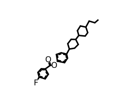 CCCC1CCC(C2CCC(c3ccc(OC(=O)c4ccc(F)cc4)cc3)CC2)CC1